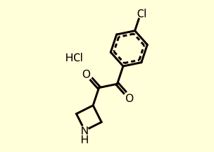 Cl.O=C(C(=O)C1CNC1)c1ccc(Cl)cc1